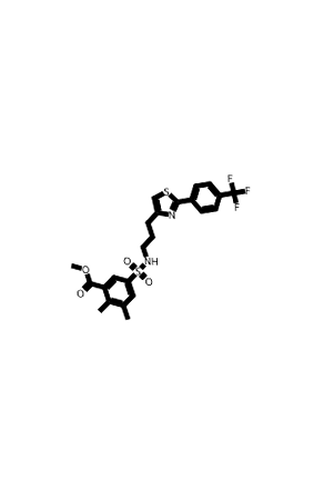 COC(=O)c1cc(S(=O)(=O)NCCCc2csc(-c3ccc(C(F)(F)F)cc3)n2)cc(C)c1C